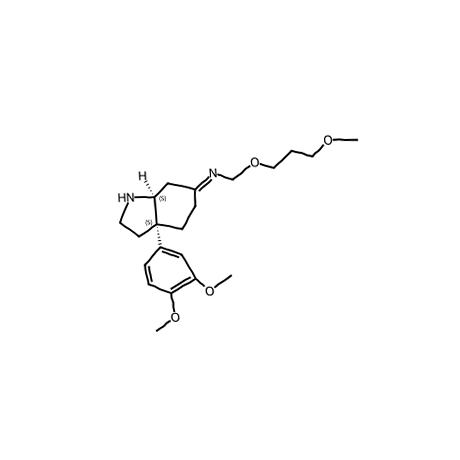 COCCCOCN=C1CC[C@@]2(c3ccc(OC)c(OC)c3)CCN[C@H]2C1